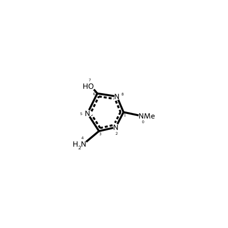 CNc1nc(N)nc(O)n1